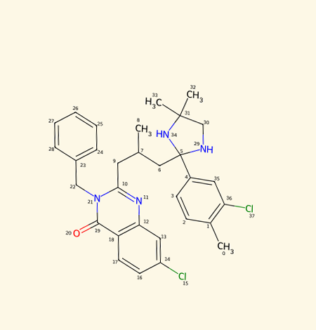 Cc1ccc(C2(CC(C)Cc3nc4cc(Cl)ccc4c(=O)n3Cc3ccccc3)NCC(C)(C)N2)cc1Cl